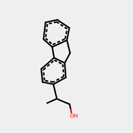 CC(CO)c1ccc2c(c1)Cc1ccccc1-2